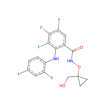 O=C(NOC1(CO)CC1)c1cc(F)c(F)c(F)c1Nc1ccc(I)cc1F